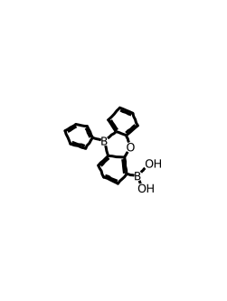 OB(O)c1cccc2c1Oc1ccccc1B2c1ccccc1